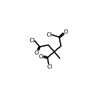 CC(CC(=O)Cl)(CC(=O)Cl)C(=O)Cl